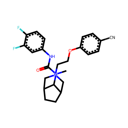 CN(C(=O)Nc1ccc(F)c(F)c1)C1C2CCC1CN(CCOc1ccc(C#N)cc1)C2